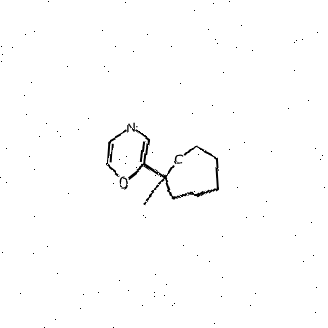 CC1(C2=C[N]C=CO2)CCCCCC1